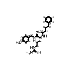 N=C(N)NCCC[C@@H](NC(=O)CCCc1ccccc1)C(=O)NCc1ccc(O)cc1